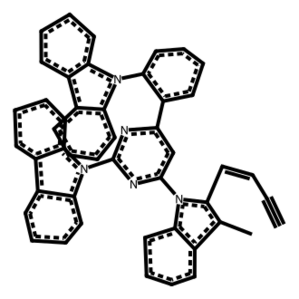 C#C/C=C\c1c(C)c2ccccc2n1-c1cc(-c2ccccc2-n2c3ccccc3c3ccccc32)nc(-n2c3ccccc3c3ccccc32)n1